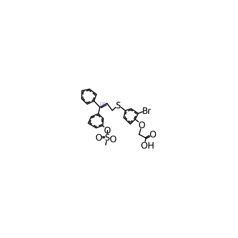 CS(=O)(=O)Oc1cccc(/C(=C\CSc2ccc(OCC(=O)O)c(Br)c2)c2ccccc2)c1